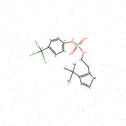 [2H]C([2H])([2H])c1cc[se]c1CCOS(=O)(=O)Oc1ccc(C(F)(F)F)cc1